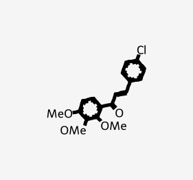 COc1ccc(C(=O)/C=C/c2ccc(Cl)cc2)c(OC)c1OC